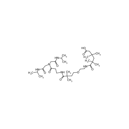 CC(C)NC(=O)CN(CC(=O)NC(C)C)C(=O)CCNC(=O)C(C)(C)CCOCCNC(=O)C(C)(C)CC(C)(C)CC(=O)O